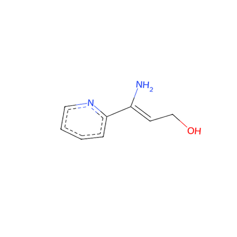 NC(=CCO)c1ccccn1